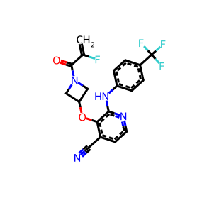 C=C(F)C(=O)N1CC(Oc2c(C#N)ccnc2Nc2ccc(C(F)(F)F)cc2)C1